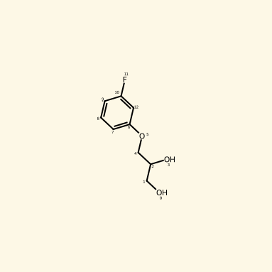 OCC(O)COc1cc[c]c(F)c1